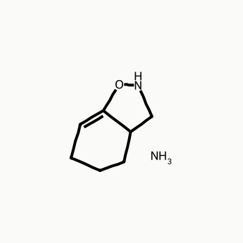 C1=C2ONCC2CCC1.N